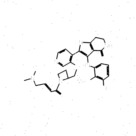 COc1c(Cl)cccc1Nc1c(-c2ccncc2OC[C@]2(C)CCN2C(=O)/C=C/CN(C)C)[nH]c2c1C(=O)NCC2